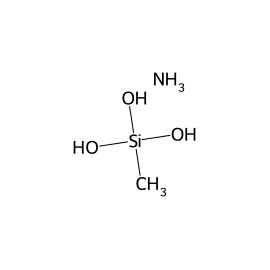 C[Si](O)(O)O.N